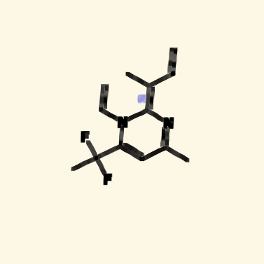 C=C/C(C)=C1\N=C(C)C=C(C(C)(F)F)N1C=C